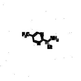 CC[C@@H](N)c1ncc(C(F)(F)F)cn1